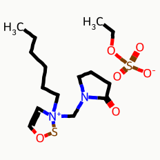 CCCCCC[N+]1(CN2CCCC2=O)C=COS1.CCOS(=O)(=O)[O-]